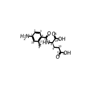 Nc1ccc(C(=O)N[C@H](CCC(=O)O)C(=O)O)c(F)c1